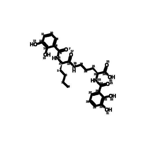 CCCC[C@H](NC(=O)c1cccc(O)c1O)C(=O)NCCC[C@H](NC(=O)c1cccc(O)c1O)C(=O)O